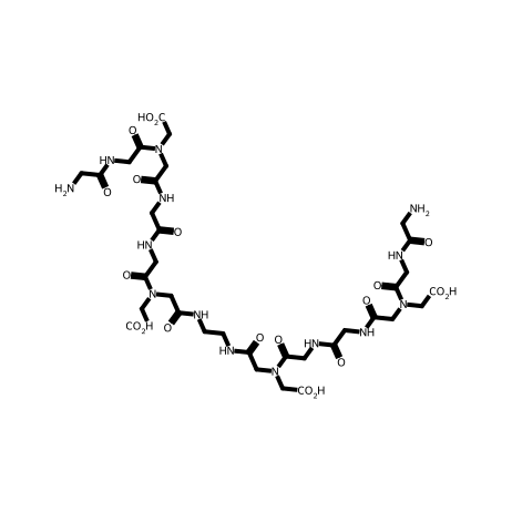 NCC(=O)NCC(=O)N(CC(=O)O)CC(=O)NCC(=O)NCC(=O)N(CC(=O)O)CC(=O)NCCNC(=O)CN(CC(=O)O)C(=O)CNC(=O)CNC(=O)CN(CC(=O)O)C(=O)CNC(=O)CN